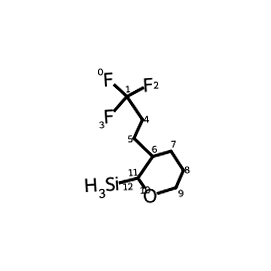 FC(F)(F)CCC1CCCOC1[SiH3]